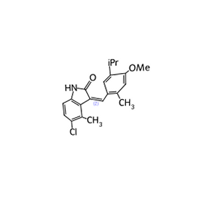 COc1cc(C)c(/C=C2\C(=O)Nc3ccc(Cl)c(C)c32)cc1C(C)C